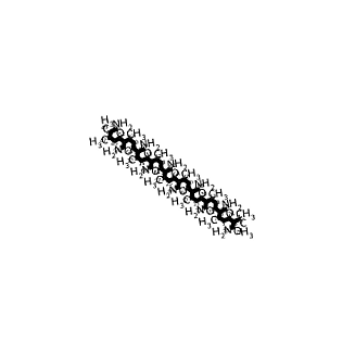 CC(C)C(CCC(C)C(CCC(C)C(CCC(C)C(CCC(C)C(CCC(C)C(CCC(C)C(CCC(C)C(CCC(C)C(CCC(C)C(C)C(N)=O)C(N)=O)C(N)=O)C(N)=O)C(N)=O)C(N)=O)C(N)=O)C(N)=O)C(N)=O)C(N)=O